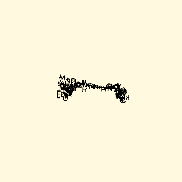 CC[C@@H]1C(=O)N(C)c2cnc(Nc3ccc(C(=O)NCCOCCNCCCCC(=O)Nc4cccc5c4CN(C4CCC(=O)NC4=O)C5=O)cc3OC)nc2N1C1CCCC1